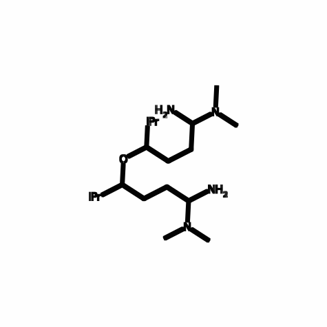 CC(C)C(CCC(N)N(C)C)OC(CCC(N)N(C)C)C(C)C